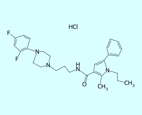 CCCn1c(-c2ccccc2)cc(C(=O)NCCCN2CCN(c3ccc(F)cc3F)CC2)c1C.Cl